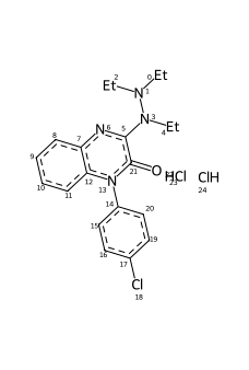 CCN(CC)N(CC)c1nc2ccccc2n(-c2ccc(Cl)cc2)c1=O.Cl.Cl